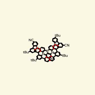 CC(C)c1cc2c3c(c1)N(c1c(-c4ccccc4)cc(C(C)(C)C)cc1-c1ccccc1)c1cc(-n4c5ccc(C#N)cc5c5cc(C(C)(C)C)ccc54)ccc1B3c1ccc(-n3c4ccc(C#N)cc4c4cc(C(C)(C)C)ccc43)cc1N2c1c(-c2ccccc2)cc(C(C)(C)C)cc1-c1ccccc1